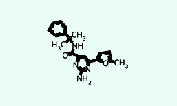 Cc1ccc(-c2cc(C(=O)NC(C)(C)c3ccccc3)nc(N)n2)o1